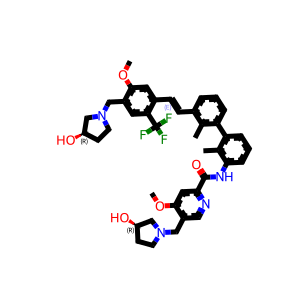 COc1cc(C(=O)Nc2cccc(-c3cccc(/C=C/c4cc(OC)c(CN5CC[C@@H](O)C5)cc4C(F)(F)F)c3C)c2C)ncc1CN1CC[C@@H](O)C1